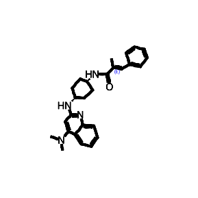 C/C(=C\c1ccccc1)C(=O)N[C@H]1CC[C@@H](Nc2cc(N(C)C)c3ccccc3n2)CC1